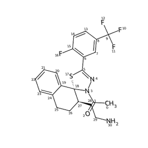 CC(=O)N1N=C(c2cc(C(F)(F)F)ccc2F)S[C@]12c1ccccc1CC[C@@H]2CCN